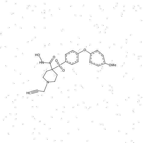 C#CCN1CCC(C(=O)NO)(S(=O)(=O)c2ccc(Oc3ccc(OC)cc3)cc2)CC1